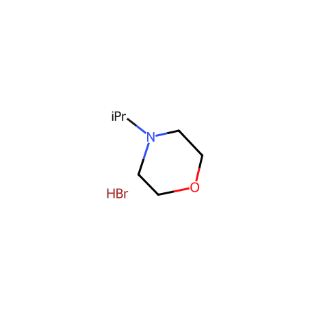 Br.CC(C)N1CCOCC1